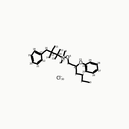 CCCCC(CO[N+](C)(C)C(C)(C)C(C)(C)Cc1ccccc1)Oc1ccccc1.[Cl-]